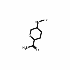 CC(C)NC1CCC(C(N)=O)OC1